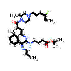 C=C/C(F)=C\C=C\N1CCN(C(=O)C(C)/C=C(C)/N=C(NCCCC(=O)OC(C)C)\C(=N/C=C/C)c2ccccc2)C(C)C1